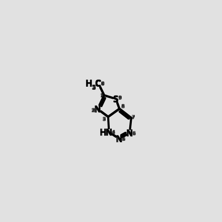 CC1=NC2NN=NC=C2S1